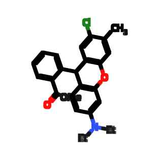 CCN(CC)c1ccc2c(c1)Oc1cc(C)c(Cl)cc1C2c1ccccc1C(=O)OC